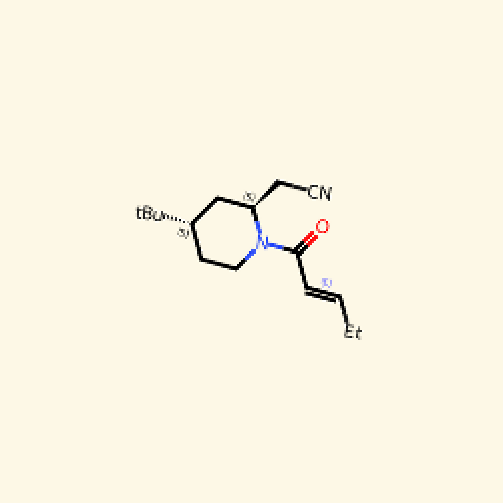 CC/C=C/C(=O)N1CC[C@H](C(C)(C)C)C[C@H]1CC#N